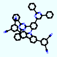 N#Cc1cc(C#N)cc(-c2ccc3c4ccc(-c5cc(C#N)cc(C#N)c5)cc4n(-c4ccc(-c5cc(-c6ccccc6)nc(-c6ccccc6)n5)cc4-c4nc(-c5ccccc5)nc(-c5ccccc5)n4)c3c2)c1